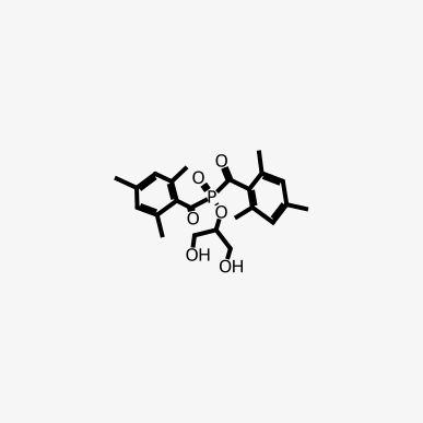 Cc1cc(C)c(C(=O)P(=O)(OC(CO)CO)C(=O)c2c(C)cc(C)cc2C)c(C)c1